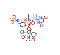 CC1COc2ccccc2N1C(=O)C(Cl)Cl.COC(=O)c1ccc(CNS(C)(=O)=O)cc1S(=O)(=O)NC(=O)Nc1nc(OC)cc(OC)n1